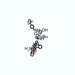 Cc1ncsc1-c1ccc(CNC(=O)[C@@H]2C[C@@H](O)CN2C(=O)[C@@H](NC(=O)[C@H]2CC3(C2)C[C@H](c2cnc(N4C5CCC4CN(c4cc(-c6ccccc6O)nnc4N)C5)nc2)C3)C(C)(C)C)cc1